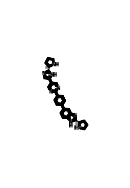 c1cc(-c2ncc(-c3cnc([C@@H]4CCCN4)[nH]3)cn2)ccc1-c1ccc2[nH]c([C@@H]3CCCN3)nc2c1